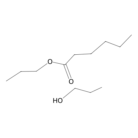 CCCCCC(=O)OCCC.CCCO